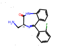 NC[C@@H]1N=C(c2ccccc2F)c2ccccc2NC1=O